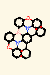 C1=CCC(c2cc(-c3ccccc3)c3c4c2N2c5ccccc5Oc5cccc(c52)B4c2cccc4c2N3c2ccccc2O4)C=C1